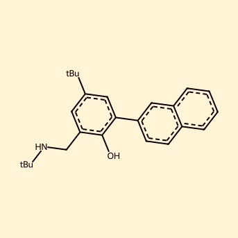 CC(C)(C)NCc1cc(C(C)(C)C)cc(-c2ccc3ccccc3c2)c1O